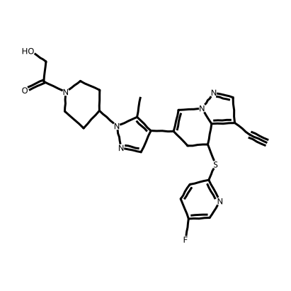 C#Cc1cnn2c1C(Sc1ccc(F)cn1)CC(c1cnn(C3CCN(C(=O)CO)CC3)c1C)=C2